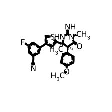 COc1ccc([C@@H]2C(=O)N(C)C(=N)N[C@]2(C)c2cc(-c3cc(F)cc(C#N)c3)cs2)cc1